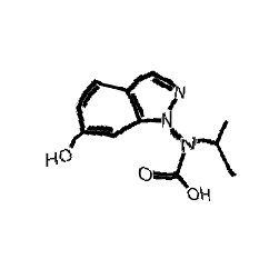 CC(C)N(C(=O)O)n1ncc2ccc(O)cc21